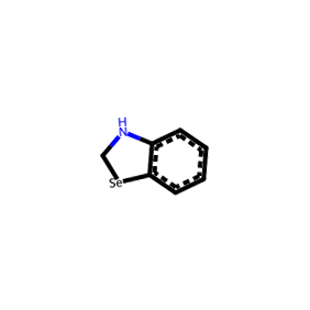 c1ccc2c(c1)NC[Se]2